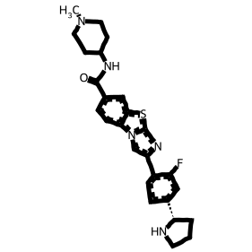 CN1CCC(NC(=O)c2ccc3c(c2)sc2nc(-c4ccc([C@@H]5CCCN5)cc4F)cn23)CC1